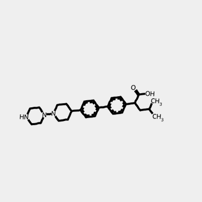 CC(C)CC(C(=O)O)c1ccc(-c2ccc(C3CCN(N4CCNCC4)CC3)cc2)cc1